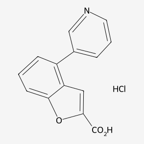 Cl.O=C(O)c1cc2c(-c3cccnc3)cccc2o1